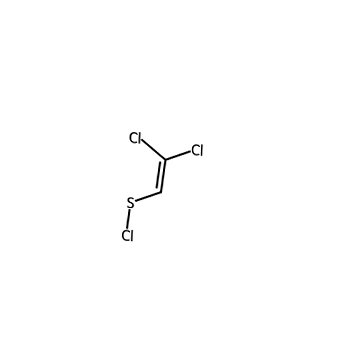 ClSC=C(Cl)Cl